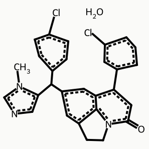 Cn1cncc1C(c1ccc(Cl)cc1)c1cc2c3c(c1)c(-c1cccc(Cl)c1)cc(=O)n3CC2.O